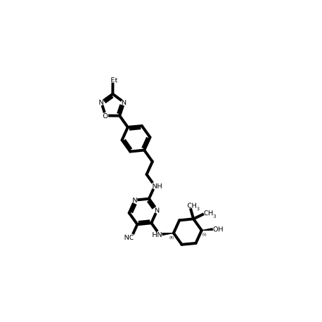 CCc1noc(-c2ccc(CCNc3ncc(C#N)c(N[C@@H]4CC[C@H](O)C(C)(C)C4)n3)cc2)n1